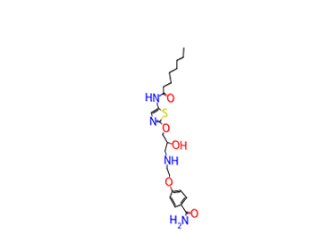 CCCCCCCC(=O)Nc1cnc(OCC(O)CNCCOc2ccc(C(N)=O)cc2)s1